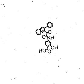 O=C(Nc1ccc(C(=O)O)c(O)c1)C(=O)c1c(-c2ccccc2)cc2ccccn12